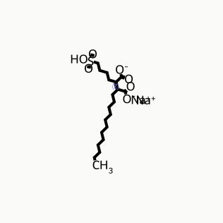 CCCCCCCCCCCC/C(C(=O)[O-])=C(\CCCCS(=O)(=O)O)C(=O)[O-].[Na+].[Na+]